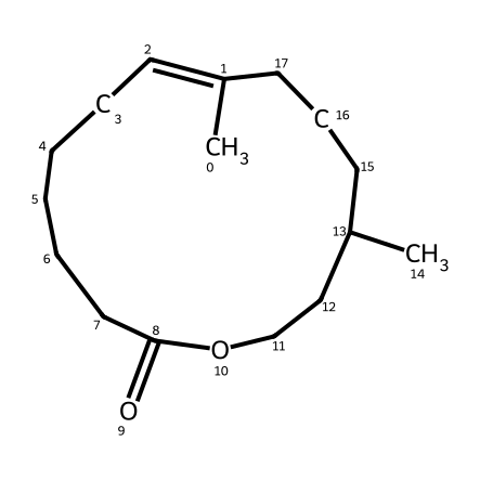 C/C1=C\CCCCCC(=O)OCCC(C)CCC1